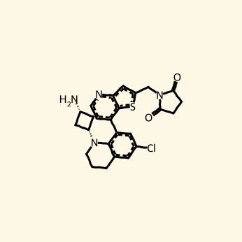 N[C@H]1C[C@@H](N2CCCc3cc(Cl)cc(-c4ccnc5cc(CN6C(=O)CCC6=O)sc45)c32)C1